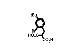 CC(C)(C)c1ccc(CC(C(=O)O)C(=O)O)c(Br)c1